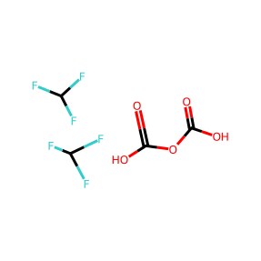 FC(F)F.FC(F)F.O=C(O)OC(=O)O